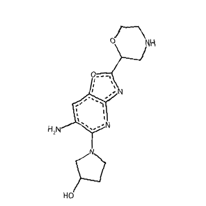 Nc1cc2oc(C3CNCCO3)nc2nc1N1CCC(O)C1